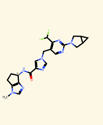 Cn1cnc2c1CC[C@H]2NC(=O)c1cn(Cc2cnc(N3CC4CC4C3)nc2C(F)F)cn1